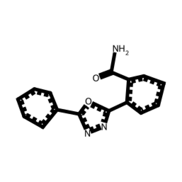 NC(=O)c1ccccc1-c1nnc(-c2ccccc2)o1